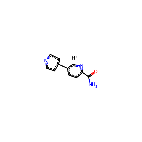 NC(=O)c1ccc(-c2ccncc2)cn1.[H+]